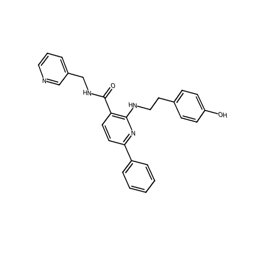 O=C(NCc1cccnc1)c1ccc(-c2ccccc2)nc1NCCc1ccc(O)cc1